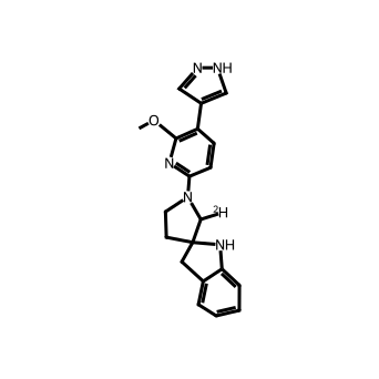 [2H]C1N(c2ccc(-c3cn[nH]c3)c(OC)n2)CCC12Cc1ccccc1N2